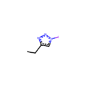 CCc1cn(I)nn1